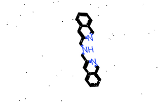 c1ccc2cc(CNCc3cc4ccccc4cn3)ncc2c1